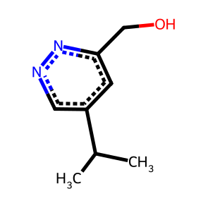 CC(C)c1cnnc(CO)c1